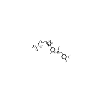 COC(=O)[C@@H]1CO[C@@H](Cn2nnc(-c3cc(C)nc(C(=O)NCc4ccc(F)c(OC)c4)c3)n2)CO1